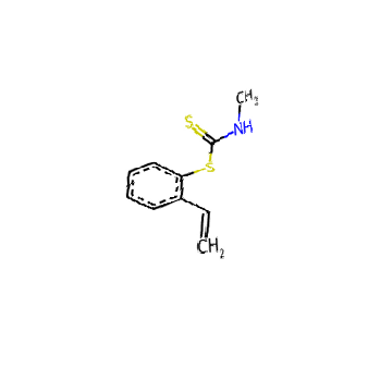 C=Cc1ccccc1SC(=S)NC